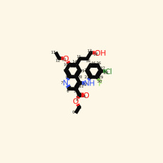 CCOC(=O)c1cnc2cc(OCC)c(CCCO)cc2c1Nc1cccc(Cl)c1F